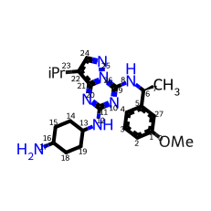 COc1cccc([C@H](C)Nc2nc(NC3CCC(N)CC3)nc3c(C(C)C)cnn23)c1